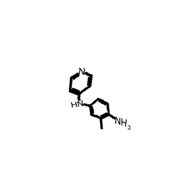 Cc1cc(Nc2ccncc2)ccc1N